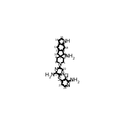 Nc1nc(N2CCC3(CC2)Cc2cc4cc[nH]c4cc2[C@H]3N)cnc1Sc1ccnc(N)c1Cl